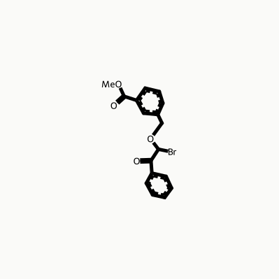 COC(=O)c1cccc(COC(Br)C(=O)c2ccccc2)c1